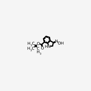 CC(C)(C)OC(=O)c1cccc2c1NC/C2=N\O